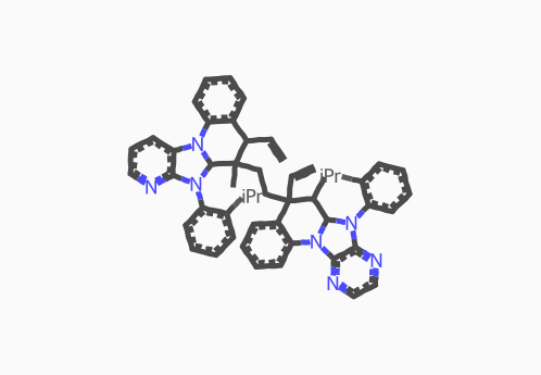 C=CC1c2ccccc2N2c3cccnc3N(c3ccccc3C(C)C)C2C1(C)CCC1(C=C)c2ccccc2N2c3nccnc3N(c3ccccc3C(C)C)C2C1C